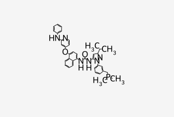 CC(C)c1cc(NC(=O)Nc2ccc(Oc3ccnc(Nc4ccccc4)c3)c3ccccc23)n(-c2cccc(CP(C)C)c2)n1